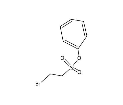 O=S(=O)(CCBr)Oc1ccccc1